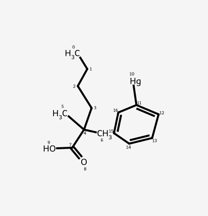 CCCCC(C)(C)C(=O)O.[Hg][c]1ccccc1